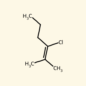 CCCC(Cl)=C(C)C